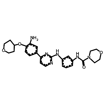 Nc1cc(-c2ccnc(Nc3cccc(NC(=O)N4CCOCC4)c3)n2)ccc1OC1CCOCC1